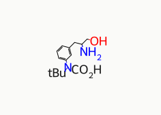 CC(C)(C)N(C(=O)O)c1cccc(C[C@H](N)CO)c1